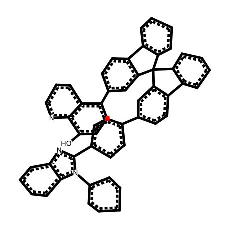 Oc1ccc(-c2ccc3c(c2)C2(c4ccccc4-c4ccc(-c5ccc(-c6nc7ccccc7n6-c6ccccc6)cc5)cc42)c2ccccc2-3)c2cccnc12